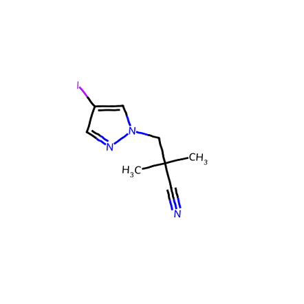 CC(C)(C#N)Cn1cc(I)cn1